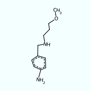 COCCCNCc1ccc(N)cc1